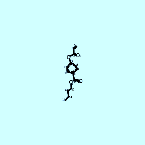 C=CC(=O)Oc1ccc(C(=O)OCCCC)cc1